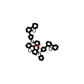 c1ccc(N(c2ccc(-c3cccc4c3oc3ccccc34)cc2)c2cccc3c2-c2cccc4c(N(c5ccccc5)c5ccc(-c6cccc7c6oc6ccccc67)cc5)ccc(c24)O3)cc1